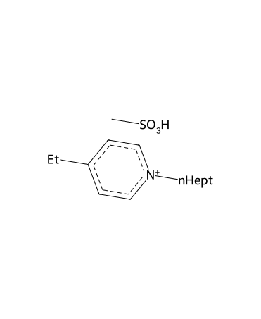 CCCCCCC[n+]1ccc(CC)cc1.CS(=O)(=O)O